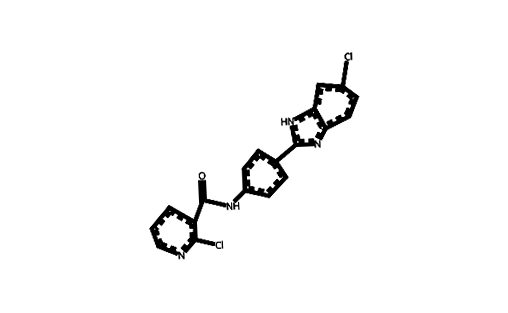 O=C(Nc1ccc(-c2nc3ccc(Cl)cc3[nH]2)cc1)c1cccnc1Cl